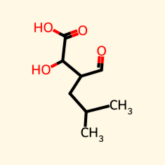 CC(C)CC(C=O)C(O)C(=O)O